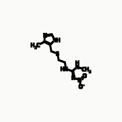 CN/C(=N\[N+](=O)[O-])NCCSCc1[nH]cnc1C